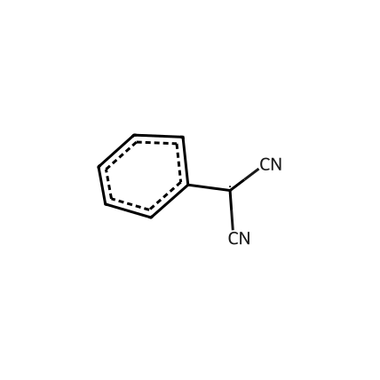 N#C[C](C#N)c1ccccc1